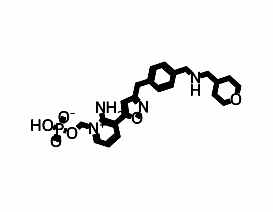 Nc1c(-c2cc(Cc3ccc(CNCC4CCOCC4)cc3)no2)ccc[n+]1COP(=O)([O-])O